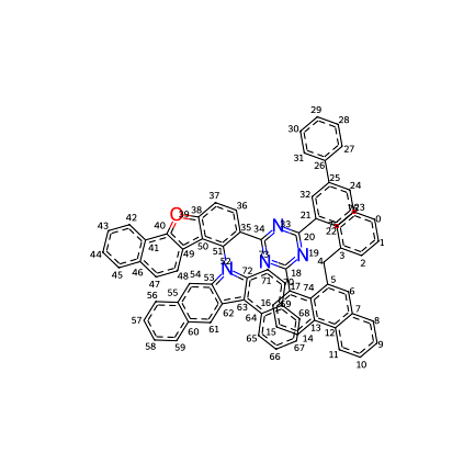 c1ccc(Cc2cc3ccccc3c3cccc(-c4nc(-c5cccc(-c6ccccc6)c5)nc(-c5ccc6oc7c8ccccc8ccc7c6c5-n5c6cc7ccccc7cc6c6c7ccccc7ccc65)n4)c23)cc1